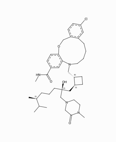 CNC(=O)c1ccc2c(c1)N(C[C@@H]1CC[C@H]1C[C@@](O)(CCC[C@H](C)C(C)C)CN1CCN(C)C(=O)C1)CCCCc1cc(Cl)ccc1CO2